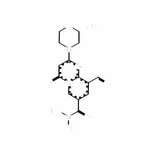 C[C@@H]1CN(c2cc(=O)n3cc(C(=O)N(C)C)cc(C=O)c3n2)CCO1